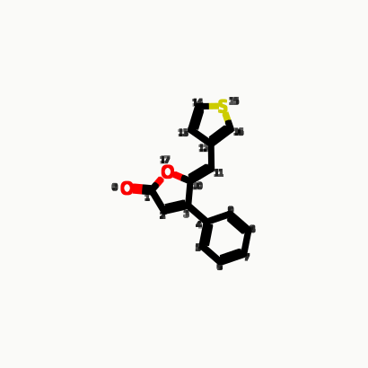 O=C1C=C(c2ccccc2)/C(=C/c2ccsc2)O1